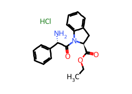 CCOC(=O)[C@@H]1Cc2ccccc2N1C(=O)[C@@H](N)c1ccccc1.Cl